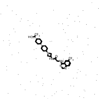 O=C(CNc1ncnc2ccc(C(F)(F)F)cc12)NC1CN(C2CCC([C@H]3CC[C@@H](C(O)C(F)(F)F)CC3)CC2)C1